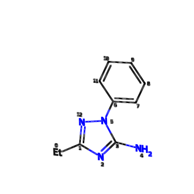 CCc1nc(N)n(-c2ccccc2)n1